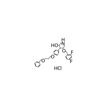 Cl.OC1CNCC(OCc2ccc(F)cc2F)C1c1ccc(OCCCOCc2ccccc2)cc1